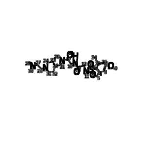 COc1cc(C)c(S(=O)(=O)N(C)CC(=O)NCC(=O)N(C)CC2CCN(CCN(C)C)CC2)c(C)c1